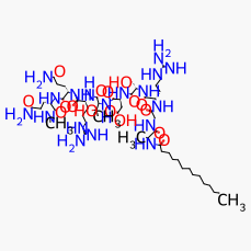 CCCCCCCCCCCCCC(=O)N[C@@H](C)C(=O)NCC(=O)N[C@@H](CCCNC(=N)N)C(=O)N[C@@H](CO)C(=O)N[C@@H](CC(=O)O)C(=O)N[C@H](C(=O)N[C@@H](CCCNC(=N)N)C(=O)N[C@@H](CCC(N)=O)C(=O)N[C@@H](CCC(N)=O)C(=O)NC)[C@@H](C)O